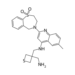 Cc1ccc2nc(N3CCS(=O)(=O)c4ccccc4C3)cc(NCC3(CN)CSC3)c2c1